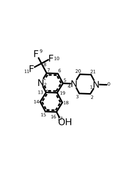 CN1CCN(c2cc(C(F)(F)F)nc3ccc(O)cc23)CC1